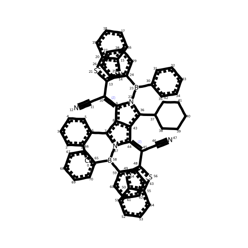 Cc1ccccc1-c1c2/c(=C(\C#N)c3nc4ccccc4s3)n(B(c3ccccc3)c3ccccc3)c(C3CCCCC3)c2/c(=C(\C#N)c2nc3ccccc3s2)n1B(c1ccccc1)c1ccccc1